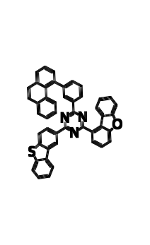 c1cc(-c2nc(-c3ccc4sc5ccccc5c4c3)nc(-c3cccc4oc5ccccc5c34)n2)cc(-c2cccc3ccc4ccccc4c23)c1